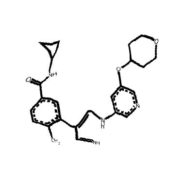 Cc1ccc(C(=O)NC2CC2)cc1/C(C=N)=C/Nc1cncc(OC2CCOCC2)c1